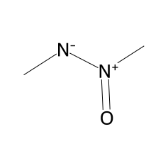 C[N-][N+](C)=O